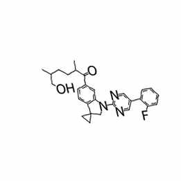 CC(CO)CCC(C)C(=O)c1ccc2c(c1)N(c1ncc(-c3ccccc3F)cn1)CC21CC1